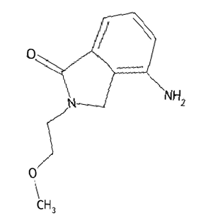 COCCN1Cc2c(N)cccc2C1=O